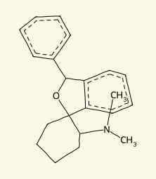 CN(C)C1CCCCC12OC(c1ccccc1)c1ccccc12